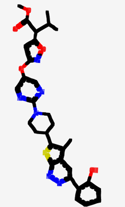 COC(=O)C(c1cc(Oc2cnc(N3CCC(c4sc5nnc(-c6ccccc6O)cc5c4C)CC3)nc2)no1)C(C)C